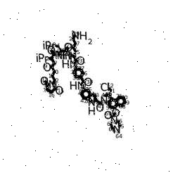 CC(C)C[C@H](NC(=O)C(CC(=O)CCCN1C(=O)C=CC1=O)C(C)C)C(=O)N[C@@H](CCCCN)C(=O)Nc1ccc(C(=O)Nc2ccc3[nH]c(C(=O)N4C[C@@H](CCl)c5c4cc(OC(=O)N4CCN(C)CC4)c4ccccc54)cc3c2)cc1